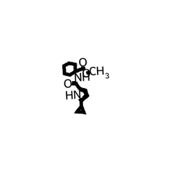 COC(=O)C1(NC(=O)c2ccc(C3CC3)[nH]2)CCCCC1